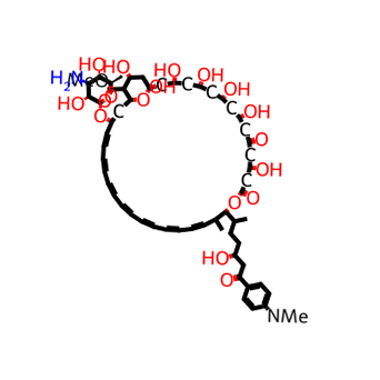 CNc1ccc(C(=O)CC(O)CCC(C)C2OC(=O)CC(O)CC(=O)CC(O)CC(O)CC(O)CC(O)CC3(O)CC(O)C(C(=O)OC)C(CC(O[C@@H]4O[C@H](C)[C@@H](O)[C@H](N)[C@@H]4O)\C=C/C=C\C=C/C=C\C=C/C=C\C=C/C2C)O3)cc1